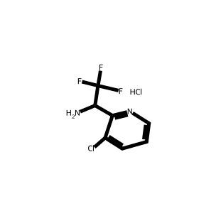 Cl.NC(c1ncccc1Cl)C(F)(F)F